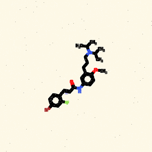 COc1ccc(NC(=O)/C=C/c2ccc(Br)cc2F)cc1CCCN(C(C)C)C(C)C